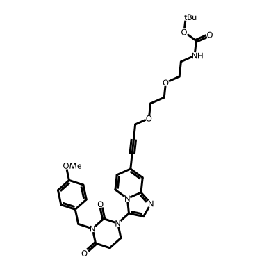 COc1ccc(CN2C(=O)CCN(c3cnc4cc(C#CCOCCOCCNC(=O)OC(C)(C)C)ccn34)C2=O)cc1